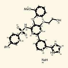 COc1ccccc1Oc1c(NS(=O)(=O)c2ccc(C(C)C)cn2)nc(-c2ccnc(-c3nnn[nH]3)c2)nc1OCCO.[NaH]